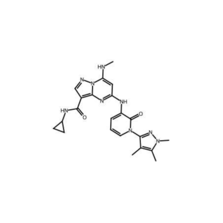 CNc1cc(Nc2cccn(-c3nn(C)c(C)c3C)c2=O)nc2c(C(=O)NC3CC3)cnn12